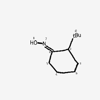 CC(C)(C)C1CCCCC1=NO